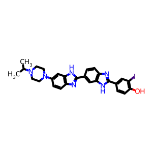 CC(C)N1CCN(c2ccc3nc(-c4ccc5nc(-c6ccc(O)c(I)c6)[nH]c5c4)[nH]c3c2)CC1